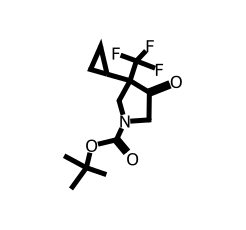 CC(C)(C)OC(=O)N1CC(=O)C(C2CC2)(C(F)(F)F)C1